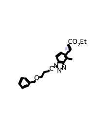 CCOC(=O)/C=C/c1ccc2c(nnn2CCCCOCc2ccccc2)c1C